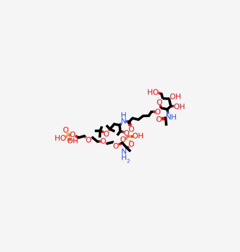 CC(=O)NC1C(OCCCCCC(=O)NC(CC(C)(C)OC(C)(C)C)C(C)OP(=O)(O)OC(C)(N)COCCOCCOCCOP(=O)(O)O)OC(CO)C(O)C1O